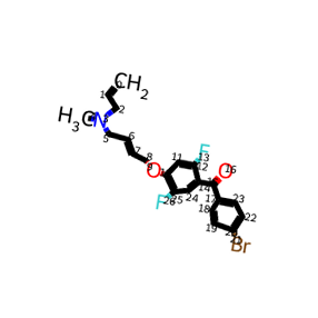 C=CCN(C)CC=CCOc1cc(F)c(C(=O)c2ccc(Br)cc2)cc1F